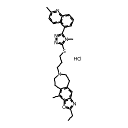 CCc1nc2cc3c(c(C)c2o1)CCN(CCCSc1nnc(-c2cccc4nc(C)ccc24)n1C)CC3.Cl